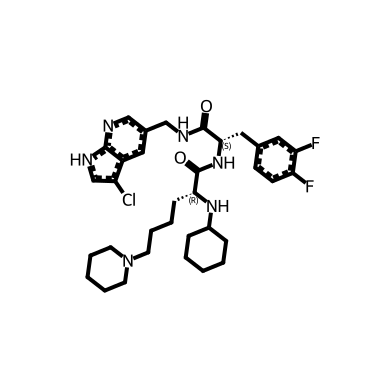 O=C(NCc1cnc2[nH]cc(Cl)c2c1)[C@H](Cc1ccc(F)c(F)c1)NC(=O)[C@@H](CCCCN1CCCCC1)NC1CCCCC1